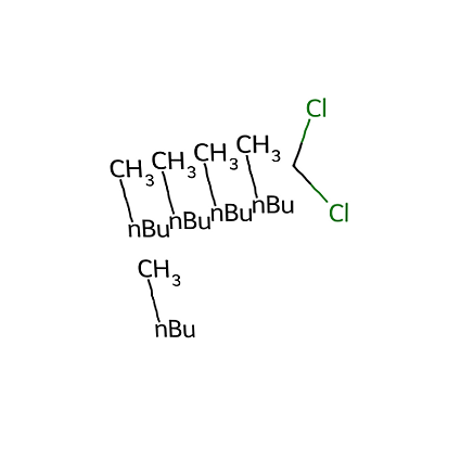 CCCCC.CCCCC.CCCCC.CCCCC.CCCCC.ClCCl